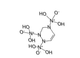 [O-][N+](O)(O)N1C=CN([N+]([O-])(O)O)N([N+]([O-])(O)O)C1